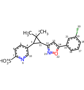 CC1(C)C(c2ccc(S(=O)(=O)O)nc2)C1c1cc(-c2cccc(F)c2)on1